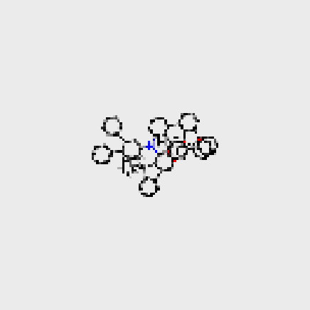 CC1(C)c2ccccc2-c2cccc(-c3cccc(N(c4ccc(-c5ccccc5)c(-c5ccccc5)c4)c4cccc5c4C(C)(C)c4ccccc4-5)c3-c3cccc(-c4ccccc4)c3)c21